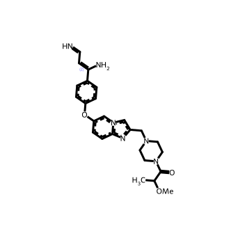 COC(C)C(=O)N1CCN(Cc2cn3cc(Oc4ccc(/C(N)=C/C=N)cc4)ccc3n2)CC1